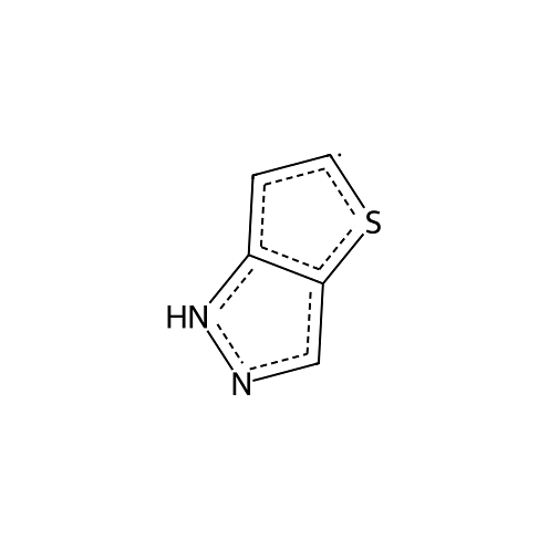 [c]1cc2[nH]ncc2s1